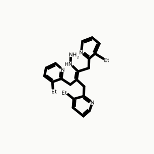 CCc1cccnc1CC(Cc1ncccc1CC)=C(Cc1ncccc1CC)NN